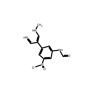 CN/C=C(\C=N)c1cc(NC=O)cc([N+](=O)[O-])c1